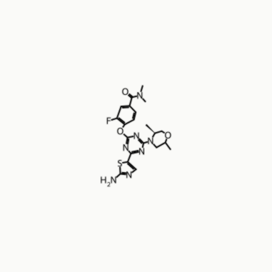 CC1CN(c2nc(Oc3ccc(C(=O)N(C)C)cc3F)nc(-c3cnc(N)s3)n2)[C@@H](C)CO1